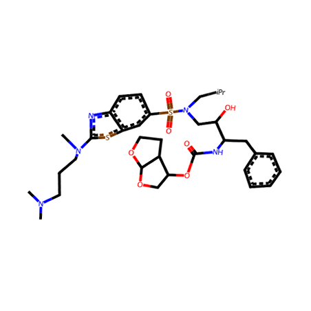 CC(C)CN(CC(O)C(Cc1ccccc1)NC(=O)OC1COC2OCCC12)S(=O)(=O)c1ccc2nc(N(C)CCCN(C)C)sc2c1